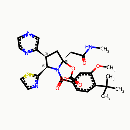 CNC(=O)C[C@@]1(OC(=O)O)C[C@H](c2cnccn2)[C@H](c2nccs2)N1C(=O)c1ccc(C(C)(C)C)c(OC)c1